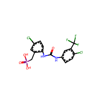 O=C(Nc1ccc(Cl)c(C(F)(F)F)c1)Nc1ccc(Cl)cc1CP(=O)(O)O